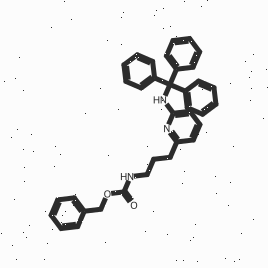 O=C(NCCCc1cccc(NC(c2ccccc2)(c2ccccc2)c2ccccc2)n1)OCc1ccccc1